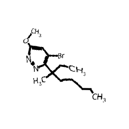 CCCCCC(C)(CC)c1nnc(OC)cc1Br